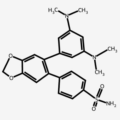 CN(C)c1cc(-c2cc3c(cc2-c2ccc(S(N)(=O)=O)cc2)OCO3)cc(N(C)C)c1